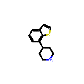 [CH]1CNCC[C]1c1cccc2ccsc12